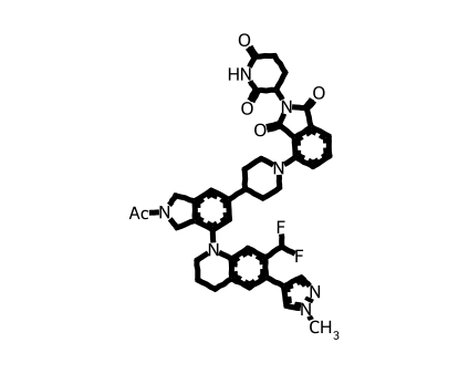 CC(=O)N1Cc2cc(C3CCN(c4cccc5c4C(=O)N(C4CCC(=O)NC4=O)C5=O)CC3)cc(N3CCCc4cc(-c5cnn(C)c5)c(C(F)F)cc43)c2C1